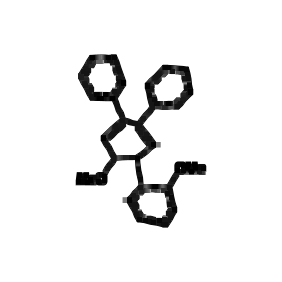 COc1ccc[c]c1C1[C]=C(c2ccccc2)C(c2ccccc2)=CC1OC